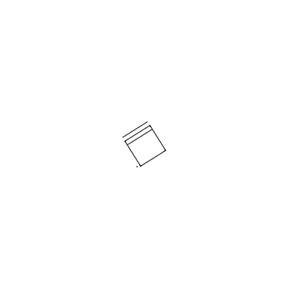 C1#CC[CH]1